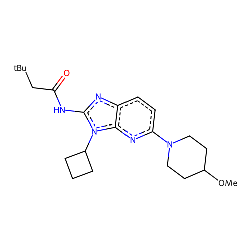 COC1CCN(c2ccc3nc(NC(=O)CC(C)(C)C)n(C4CCC4)c3n2)CC1